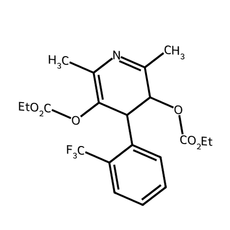 CCOC(=O)OC1=C(C)N=C(C)C(OC(=O)OCC)C1c1ccccc1C(F)(F)F